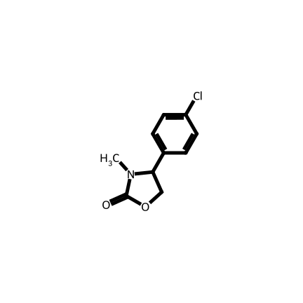 CN1C(=O)OCC1c1ccc(Cl)cc1